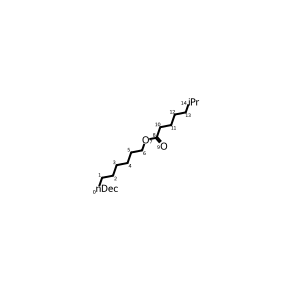 CCCCCCCCCCCCCCCCOC(=O)CCCCC(C)C